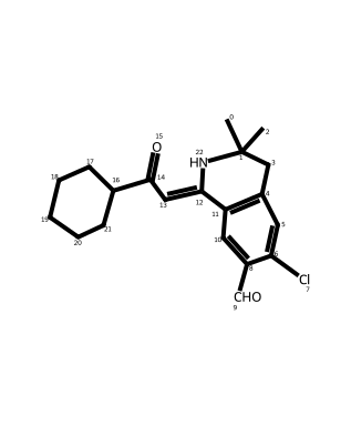 CC1(C)Cc2cc(Cl)c(C=O)cc2C(=CC(=O)C2CCCCC2)N1